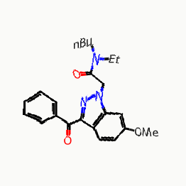 CCCCN(CC)C(=O)Cn1nc(C(=O)c2ccccc2)c2ccc(OC)cc21